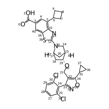 O=C(O)c1cc(C2CCC2)c2nc(N3C[C@@H]4C[C@H]3C[C@H]4OCc3c(-c4c(Cl)cccc4Cl)noc3C3CC3)sc2c1